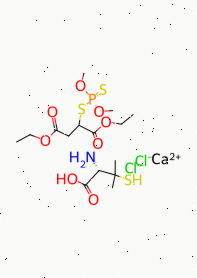 CC(C)(S)[C@@H](N)C(=O)O.CCOC(=O)CC(SP(=S)(OC)OC)C(=O)OCC.[Ca+2].[Cl-].[Cl-]